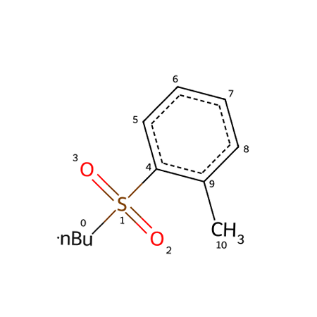 CCC[CH]S(=O)(=O)c1ccccc1C